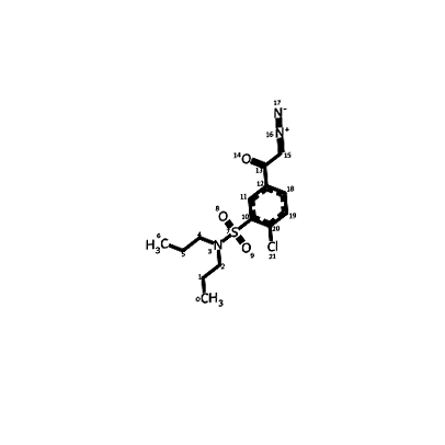 CCCN(CCC)S(=O)(=O)c1cc(C(=O)C=[N+]=[N-])ccc1Cl